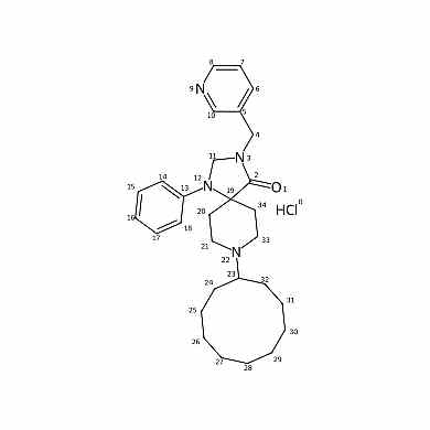 Cl.O=C1N(Cc2cccnc2)CN(c2ccccc2)C12CCN(C1CCCCCCCCC1)CC2